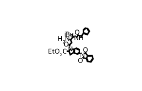 CCOC(=O)C1Cc2cc(N3C(=O)c4ccccc4C3=O)ccc2N1C(=O)CC(N)C(NC(=O)Cc1ccccc1)C(C)CC